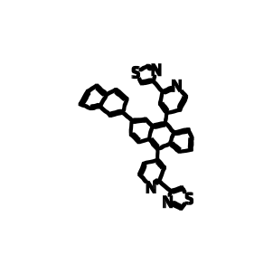 c1ccc2cc(-c3ccc4c(-c5ccnc(-c6cscn6)c5)c5ccccc5c(-c5ccnc(-c6cscn6)c5)c4c3)ccc2c1